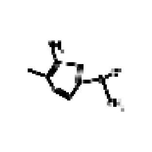 C[S+]([O-])c1ccc(F)c(N)c1